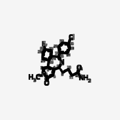 Cn1cc2c(cc1=O)[C@H](CCCC(N)=O)N=C(c1ccc(Cl)cc1)c1cc(F)ccc1-2